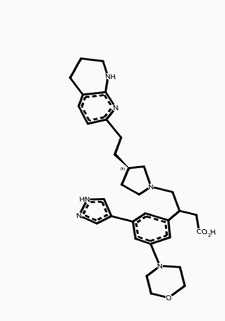 O=C(O)CC(CN1CC[C@@H](CCc2ccc3c(n2)NCCC3)C1)c1cc(-c2cn[nH]c2)cc(N2CCOCC2)c1